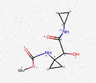 CC(C)(C)OC(=O)NC1(C(O)C(=O)NC2CC2)CC1